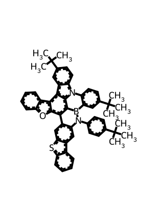 CC(C)(C)c1ccc(N2B3c4cc(C(C)(C)C)ccc4-n4c5ccc(C(C)(C)C)cc5c5c6c(oc7ccccc76)c(c3c54)-c3cc4sc5ccccc5c4cc32)cc1